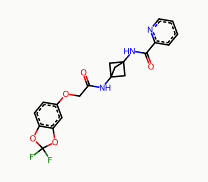 O=C(COc1ccc2c(c1)OC(F)(F)O2)NC12CC(NC(=O)c3ccccn3)(C1)C2